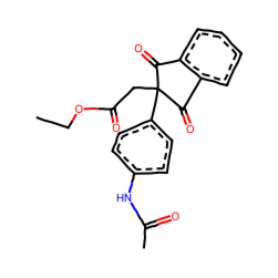 CCOC(=O)CC1(c2ccc(NC(C)=O)cc2)C(=O)c2ccccc2C1=O